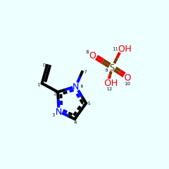 C=Cc1nccn1C.O=S(=O)(O)O